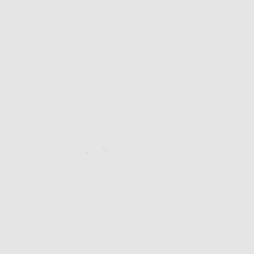 CCC(C)Nc1cccc2c1C(=O)c1ccccc1C2=O